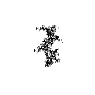 CC[C@H](C)[C@H](NC(=O)[C@H](CS)NC(=O)[C@H](CCCCN)NC(=O)[C@H](CCC(N)=O)NC(=O)[C@@H](NC(=O)[C@@H](NC(=O)[C@H](Cc1c[nH]cn1)NC(=O)[C@H](CC(N)=O)NC(=O)CNC(=O)[C@H](CC(N)=O)NC(=O)[C@@H](N)CCC(N)=O)C(C)C)C(C)C)C(=O)N[C@@H](CCC(=O)O)C(=O)N[C@@H](CS)C(=O)N[C@H](C(=O)O)C(C)C